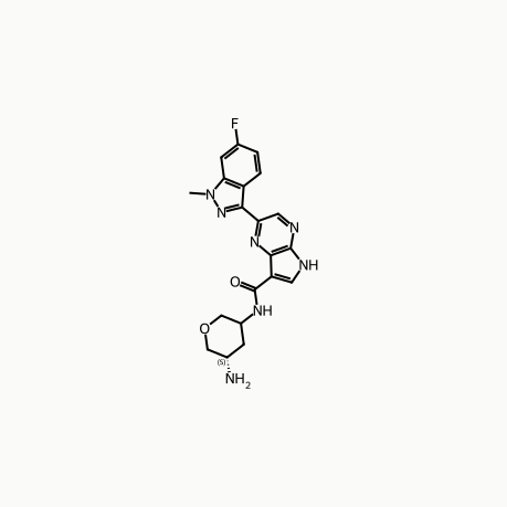 Cn1nc(-c2cnc3[nH]cc(C(=O)NC4COC[C@@H](N)C4)c3n2)c2ccc(F)cc21